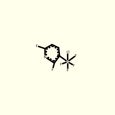 Fc1ccc(S(F)(F)(F)(F)Cl)c(F)n1